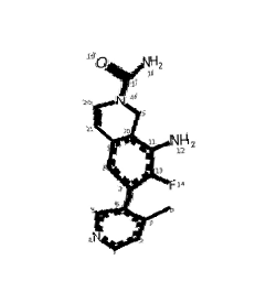 Cc1ccncc1-c1cc2c(c(N)c1F)CN(C(N)=O)C=C2